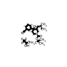 CN(C)CC1CN(C(=O)OC(C)(C)C)CCC1(O)c1cccc(C#N)c1.O=C(O)C(F)(F)F